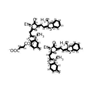 CCn1c(=Cc2sc3ccc(F)cc3[n+]2C)sc(=CC=C2Sc3ccccc3N2C)c1=O.CCn1c(=Cc2sc3ccc(F)cc3[n+]2C)sc(=CC=C2Sc3ccccc3N2C)c1=O.O=C([O-])C=CC(=O)[O-]